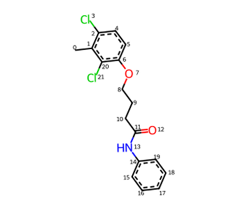 Cc1c(Cl)ccc(OCCCC(=O)Nc2ccccc2)c1Cl